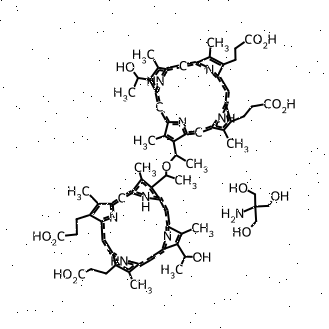 CC1=C(CCC(=O)O)c2cc3[nH]c(cc4nc(cc5[nH]c(cc1n2)c(C)c5C(C)OC(C)C1=C(C)c2cc5[nH]c(cc6nc(cc7[nH]c(cc1n2)c(C)c7CCC(=O)O)C(CCC(=O)O)=C6C)c(C)c5C(C)O)C(C)=C4C(C)O)c(C)c3CCC(=O)O.NC(CO)(CO)CO